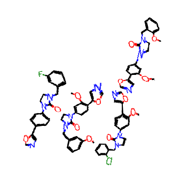 COc1cc(N2CCN(Cc3ccccc3Cl)C2=O)ccc1-c1cnco1.COc1cccc(CN2CCN(c3ccc(-c4cnco4)c(OC)c3)C2=O)c1.COc1ccccc1CN1CCN(c2ccc(-c3cnco3)c(OC)c2)C1=O.O=C1N(Cc2cccc(F)c2)CCN1c1ccc(-c2cnco2)cc1